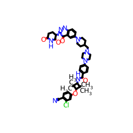 CC1(C)C(NC(=O)c2ccc(N3CCN(CC4CCN(c5ccc6nnn(C7CCC(=O)NC7=O)c(=O)c6c5)CC4)CC3)cc2)C(C)(C)C1Oc1ccc(C#N)c(Cl)c1